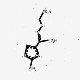 O=C(O)CON=C(C(=O)O)c1csc([AsH2])n1